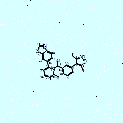 Cc1noc(C)c1-c1cccc(C(C)N2C(c3ccc4ncsc4c3)=CC=NC2C)c1